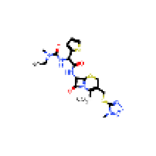 CN(CC#N)C(=O)NC(C(=O)N[C@H]1C(=O)N2C(C(=O)O)=C(CSc3nnnn3C)CSC12)c1cccs1